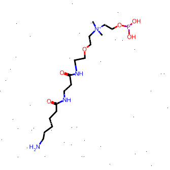 C[N+](C)(CCOCCNC(=O)CCNC(=O)CCCCCN)CCOP(O)O